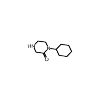 O=C1CNCCN1C1CCCCC1